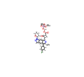 CC(C)c1nc(C2CC(C(=O)OCOP(=O)(OC(C)(C)C)OC(C)(C)C)C2=O)c2cc3c(cnn3C3CCCCO3)cc2c1-c1ccc(F)cc1